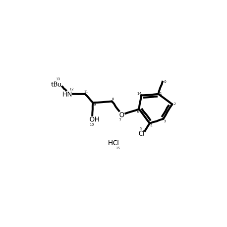 Cc1ccc(Cl)c(OCC(O)CNC(C)(C)C)c1.Cl